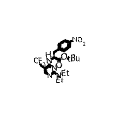 CCN(CC)c1ncc(CC(F)(F)F)c(N[C@@H](Cc2ccc([N+](=O)[O-])cc2)C(=O)OC(C)(C)C)n1